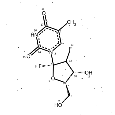 Cc1cn([C@]2(F)O[C@H](CO)[C@@H](O)C2F)c(=O)[nH]c1=O